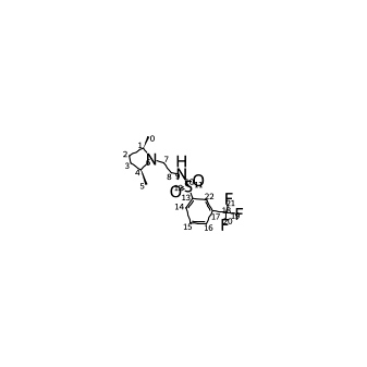 C[C@@H]1CC[C@H](C)N1CCNS(=O)(=O)c1cccc(C(F)(F)F)c1